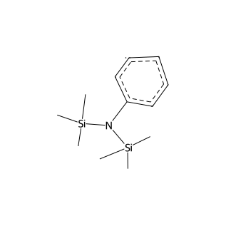 C[Si](C)(C)N(c1c[c]ccc1)[Si](C)(C)C